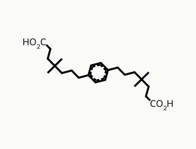 CC(C)(CCCc1ccc(CCCC(C)(C)CCC(=O)O)cc1)CCC(=O)O